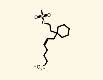 CS(=O)(=O)OCCC1(C/C=C\CCCC(=O)O)CCCCC1